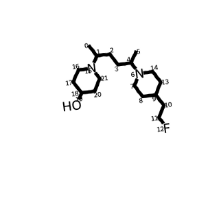 CC(CCC(C)N1CCC(CCF)CC1)N1CCC(O)CC1